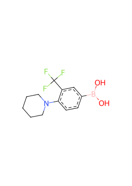 OB(O)c1ccc(N2CCCCC2)c(C(F)(F)F)c1